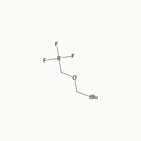 CC(C)(C)COC[B-](F)(F)F